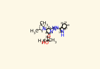 CCCN(CCC)c1cc(/C=N/Nc2c[nH]c3ccccc23)nc(OCC(C)(C)O)c1